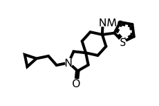 CNC1(c2cccs2)CCC2(CC1)CC(=O)N(CCC1CC1)C2